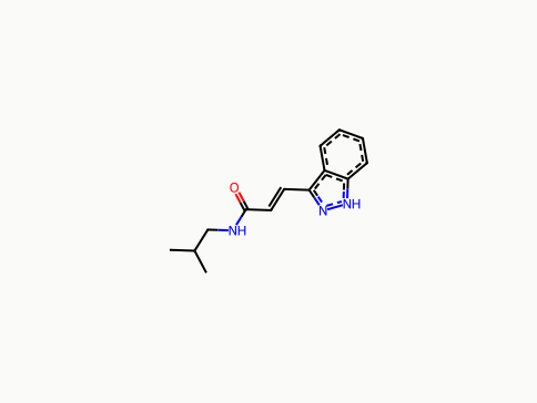 CC(C)CNC(=O)C=Cc1n[nH]c2ccccc12